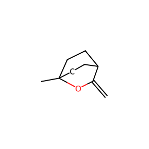 C=C1OC2(C)CCC1CC2